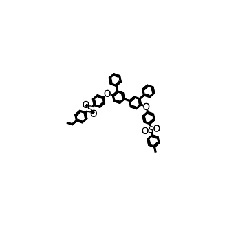 CCc1ccc(S(=O)(=O)c2ccc(Oc3ccc(-c4ccc(Oc5ccc(S(=O)(=O)c6ccc(C)cc6)cc5)c(-c5ccccc5)c4)cc3-c3ccccc3)cc2)cc1